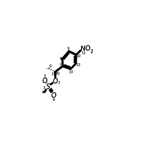 [CH2][C@@H](OS(C)(=O)=O)c1ccc([N+](=O)[O-])cc1